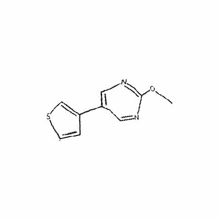 COc1ncc(-c2c[c]sc2)cn1